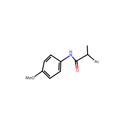 COc1ccc(NC(=O)C(C)C(C)=O)cc1